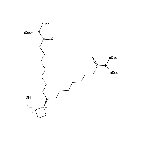 CCCCCCCCCCN(CCCCCCCCCC)C(=O)CCCCCCCN(CCCCCCCC(=O)N(CCCCCCCCCC)CCCCCCCCCC)[C@H]1CC[C@@H]1CO